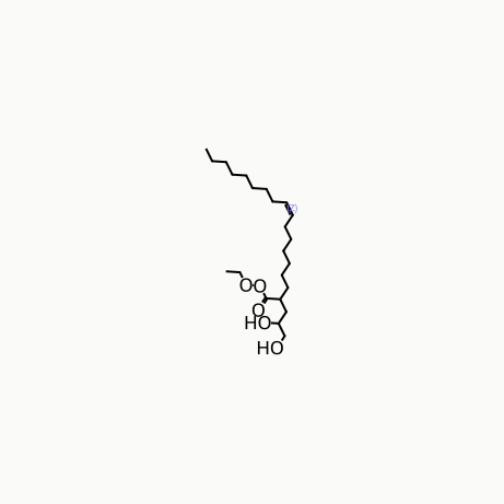 CCCCCCCC/C=C\CCCCCCC(CC(O)CO)C(=O)OOCC